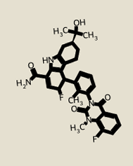 Cc1c(C2c3c([nH]c4c3CC[C@H](C(C)(C)O)C4)C(C(N)=O)=CC2F)cccc1-n1c(=O)c2cccc(F)c2n(C)c1=O